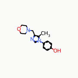 Cc1c(CN2CCOCC2)ncn1-c1ccc(O)cc1